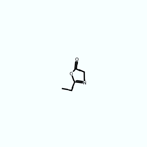 CCC1=NCC(=O)O1